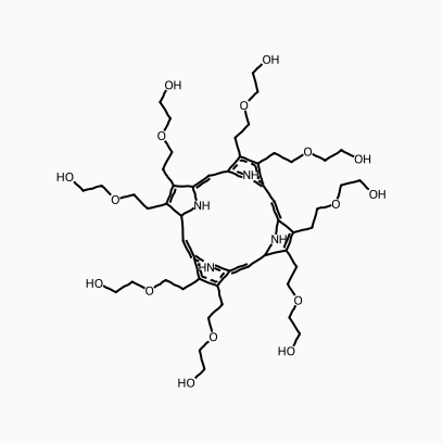 OCCOCCC1=C(CCOCCO)C2/C=c3\[nH]/c(c(CCOCCO)c3CCOCCO)=C\C3N/C(=C\c4[nH]c(c(CCOCCO)c4CCOCCO)/C=C/1N2)C(CCOCCO)=C3CCOCCO